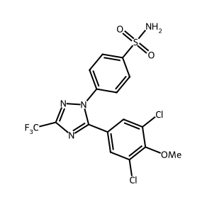 COc1c(Cl)cc(-c2nc(C(F)(F)F)nn2-c2ccc(S(N)(=O)=O)cc2)cc1Cl